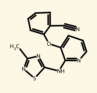 Cc1nsc(Nc2ncccc2Oc2ccccc2C#N)n1